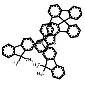 CC1(C)c2ccccc2-c2ccc(N(c3ccc(-c4cccc5c4C4(c6ccccc6-5)c5ccccc5-c5c4ccc4c5sc5ccccc54)cc3)c3ccc4c(c3)C(C)(C)c3ccccc3-4)cc21